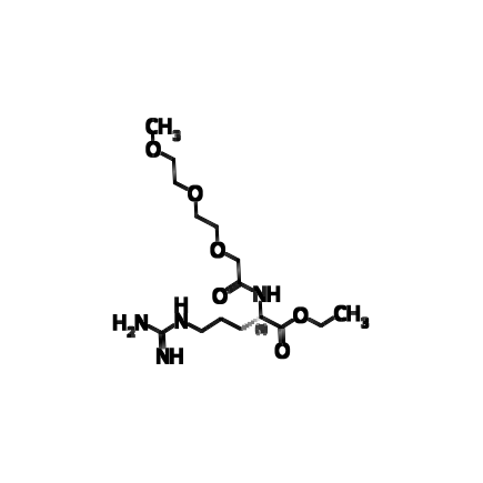 CCOC(=O)[C@H](CCCNC(=N)N)NC(=O)COCCOCCOC